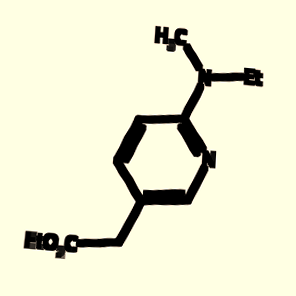 CCOC(=O)Cc1ccc(N(C)CC)nc1